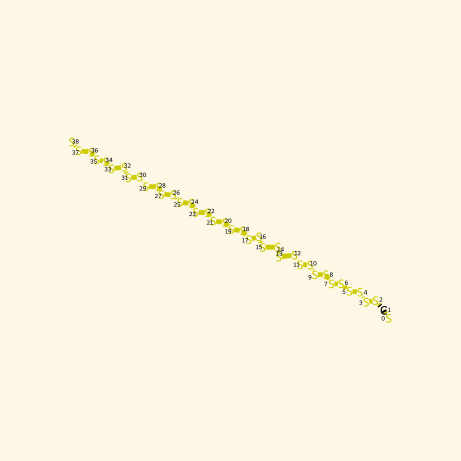 S=C=S=S=S=S=S=S=S=S=S=S=S=S=S=S=S=S=S=S=S=S=S=S=S=S=S=S=S=S=S=S=S=S=S=S=S=S=S